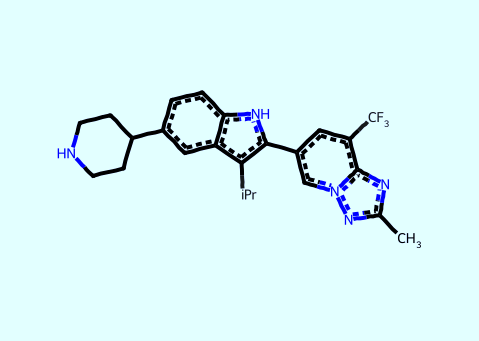 Cc1nc2c(C(F)(F)F)cc(-c3[nH]c4ccc(C5CCNCC5)cc4c3C(C)C)cn2n1